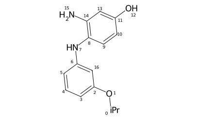 CC(C)Oc1cccc(Nc2ccc(O)cc2N)c1